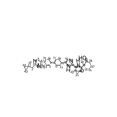 CC1(Cc2ncc(-c3ccc(-c4ccc(-c5cnc([C@@H](NC(=O)C6(C)CCCCC6O)C6(C)CC6)[nH]5)cc4)cc3)[nH]2)CC1